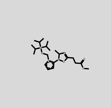 COC(=O)CCC1=NC(C)N(c2cccn2CO[Si](C(C)C)(C(C)C)C(C)C)O1